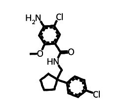 COc1cc(N)c(Cl)cc1C(=O)NCC1(c2ccc(Cl)cc2)CCCC1